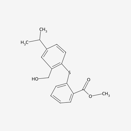 COC(=O)c1ccccc1Sc1ccc(C(C)C)cc1CO